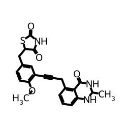 COc1ccc(CC2SC(=O)NC2=O)cc1C#CCc1cccc2c1C(=O)NC(C)N2